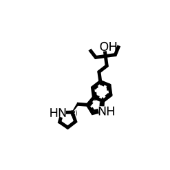 CCC(O)(CC)CCc1ccc2[nH]cc(C[C@H]3CCCN3)c2c1